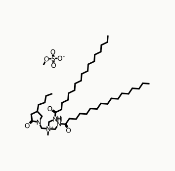 CCCCCCCCCCCCCCCCC(=O)NC[N+](C)(CNC(=O)CCCCCCCCCCCCCCCC)CN1CC(CCCC)CC1=O.COS(=O)(=O)[O-]